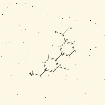 NCc1cnc(-c2ccnc(C(F)F)c2)c(F)c1